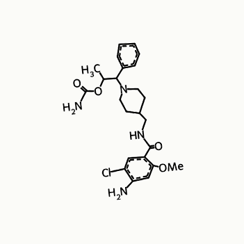 COc1cc(N)c(Cl)cc1C(=O)NCC1CCN(C(c2ccccc2)C(C)OC(N)=O)CC1